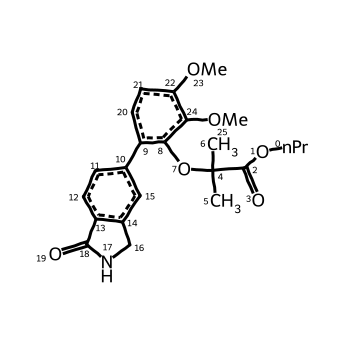 CCCOC(=O)C(C)(C)Oc1c(-c2ccc3c(c2)CNC3=O)ccc(OC)c1OC